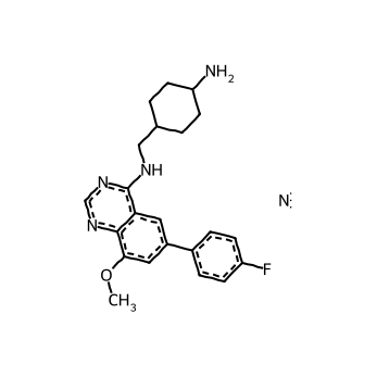 COc1cc(-c2ccc(F)cc2)cc2c(NCC3CCC(N)CC3)ncnc12.[N]